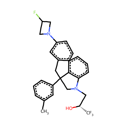 Cc1cccc(C2(Cc3cccc(N4CC(F)C4)c3)CN(C[C@@H](O)C(F)(F)F)c3ccccc32)c1